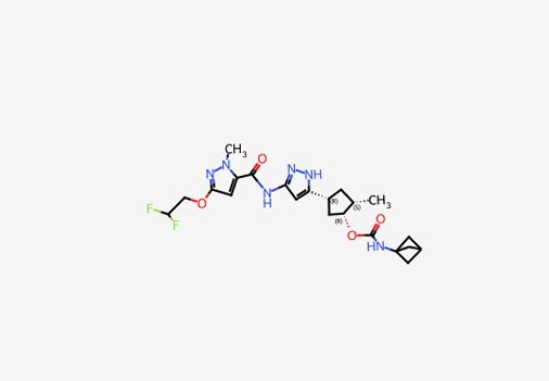 C[C@H]1C[C@@H](c2cc(NC(=O)c3cc(OCC(F)F)nn3C)n[nH]2)C[C@H]1OC(=O)NC12CC(C1)C2